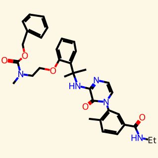 CCNC(=O)c1ccc(C)c(-n2ccnc(NC(C)(C)c3ccccc3OCCN(C)C(=O)OCc3ccccc3)c2=O)c1